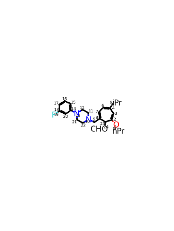 CCCOC1=CC(C(C)C)=CC=C(CN2CCN(c3cccc(F)c3)CC2)C1C=O